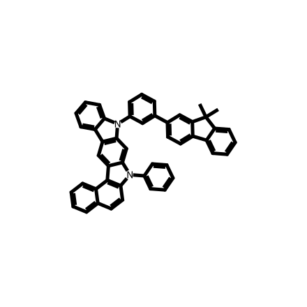 CC1(C)c2ccccc2-c2ccc(-c3cccc(-n4c5ccccc5c5cc6c7c8ccccc8ccc7n(-c7ccccc7)c6cc54)c3)cc21